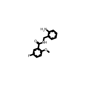 COc1ccc(F)cc1C(=O)NCc1[c]cccc1N